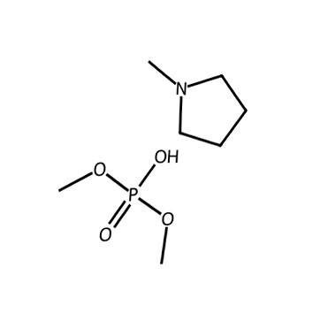 CN1CCCC1.COP(=O)(O)OC